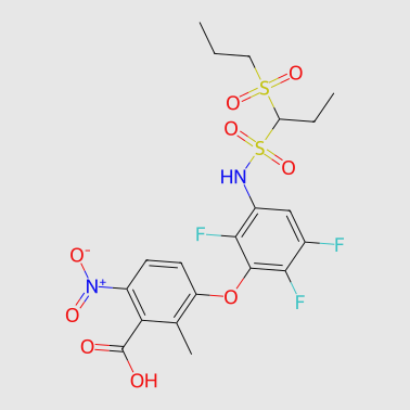 CCCS(=O)(=O)C(CC)S(=O)(=O)Nc1cc(F)c(F)c(Oc2ccc([N+](=O)[O-])c(C(=O)O)c2C)c1F